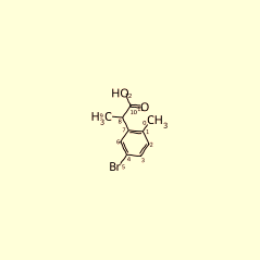 Cc1ccc(Br)cc1C(C)C(=O)O